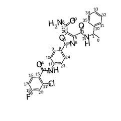 CC(NC(=O)c1nc(-c2ccc(NC(=O)c3ccc(F)cc3Cl)cc2)oc1C(N)=O)c1ccccc1